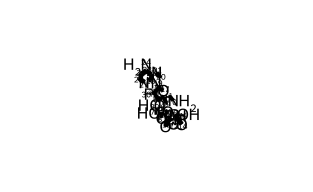 NC[C@]1(COP(=O)(O)OP(=O)(O)OP(=O)(O)O)O[C@@H](n2cnc3c(N)ccnc32)[C@H](F)[C@@H]1O